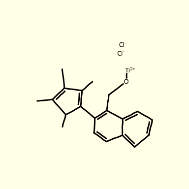 CC1=C(C)C(C)C(c2ccc3ccccc3c2C[O][Ti+2])=C1C.[Cl-].[Cl-]